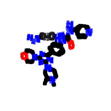 CC1CN(c2nc(-c3ccc(NC(=O)Nc4ccncc4)cc3)nc(N3CCOCC3)n2)CCN1C.NC=O